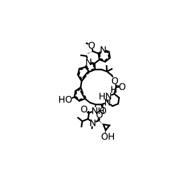 CCn1c(-c2cccnc2[C@H](C)OC)c2c3cc(ccc31)-c1cc(O)cc(c1)C[C@H](NC(=O)C(C(C)C)N(C)C(=O)[C@@H]1C[C@@H]1O)C(=O)N1CCC[C@H](N1)C(=O)OCC(C)(C)C2